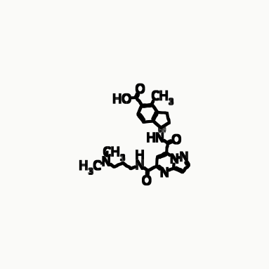 Cc1c(C(=O)O)ccc2c1CC[C@@H]2NC(=O)c1cc(C(=O)NCCCN(C)C)nc2ccnn12